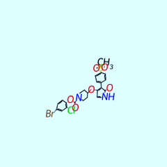 CS(=O)(=O)c1ccc(-c2c(OC3CCN(C(=O)Oc4ccc(Br)cc4Cl)CC3)cc[nH]c2=O)cc1